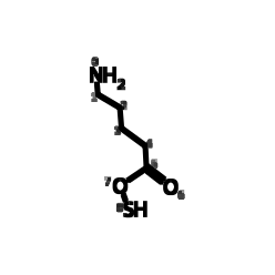 NCCCCC(=O)OS